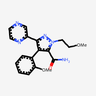 COCCn1nc(-c2cnccn2)c(-c2ccccc2OC)c1C(N)=O